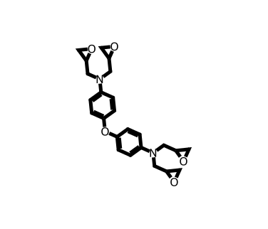 c1cc(N(CC2CO2)CC2CO2)ccc1Oc1ccc(N(CC2CO2)CC2CO2)cc1